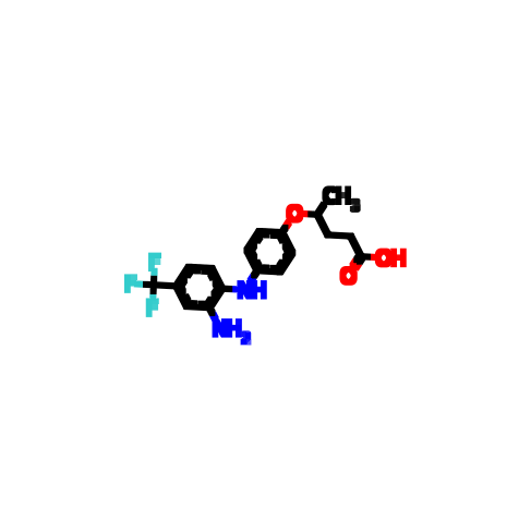 CC(CCC(=O)O)Oc1ccc(Nc2ccc(C(F)(F)F)cc2N)cc1